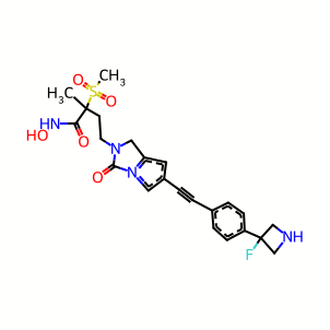 CC(CCN1Cc2cc(C#Cc3ccc(C4(F)CNC4)cc3)cn2C1=O)(C(=O)NO)S(C)(=O)=O